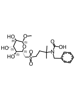 CO[C@H]1O[C@H](CS(=O)(=O)CCC(C)(C)N(Cc2ccccc2)C(=O)O)[C@@H](O)[C@H](O)[C@H]1O